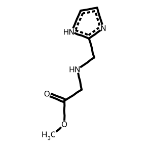 COC(=O)CNCc1ncc[nH]1